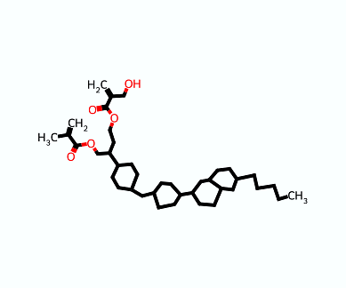 C=C(C)C(=O)OCC(CCOC(=O)C(=C)CO)C1CCC(CC2CCC(C3CCC4CC(CCCCC)CCC4C3)CC2)CC1